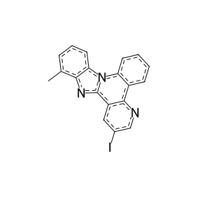 Cc1cccc2c1nc1c3cc(I)cnc3c3ccccc3n21